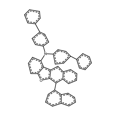 c1ccc(-c2ccc(N(c3ccc(-c4ccccc4)cc3)c3cccc4oc5c(-c6cccc7ccccc67)c6ccccc6cc5c34)cc2)cc1